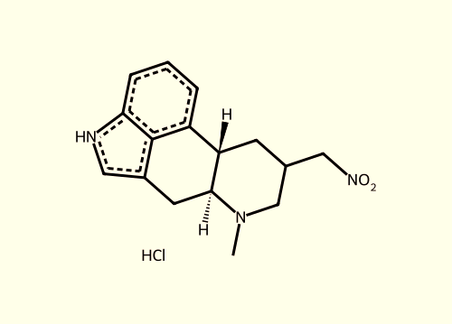 CN1CC(C[N+](=O)[O-])C[C@H]2c3cccc4[nH]cc(c34)C[C@@H]21.Cl